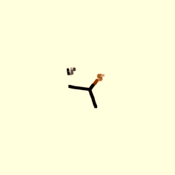 CC(C)[S-].[Li+]